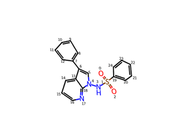 O=S(=O)(Nn1cc(-c2ccccc2)c2cccnc21)c1ccccc1